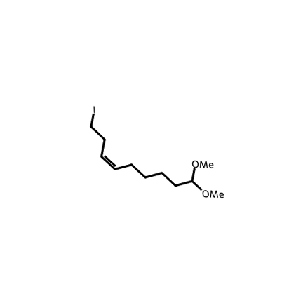 COC(CCCC/C=C\CCI)OC